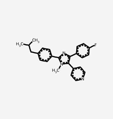 CC(C)Cc1ccc(-c2nc(-c3ccc(F)cc3)c(-c3ccncc3)n2C)cc1